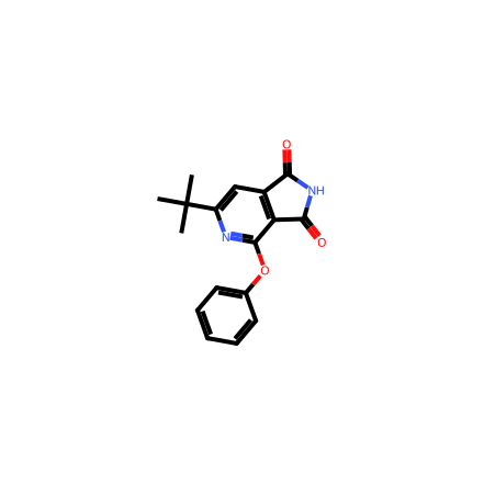 CC(C)(C)c1cc2c(c(Oc3ccccc3)n1)C(=O)NC2=O